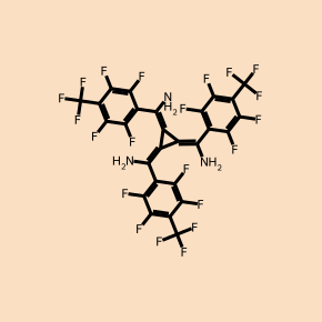 NC(=C1C(=C(N)c2c(F)c(F)c(C(F)(F)F)c(F)c2F)C1=C(N)c1c(F)c(F)c(C(F)(F)F)c(F)c1F)c1c(F)c(F)c(C(F)(F)F)c(F)c1F